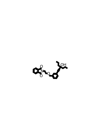 CCCC(O)(C#Cc1cccc(COCCN2C(=O)c3ccccc3C2=O)c1)CCC